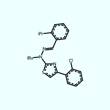 CCC(C)N(/N=C/c1ccccc1C(C)C)c1nc(-c2ccccc2Cl)cs1